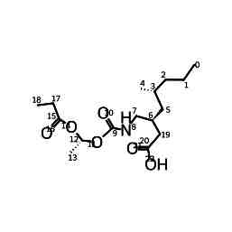 CCC[C@@H](C)C[C@H](CNC(=O)O[C@H](C)OC(=O)CC)CC(=O)O